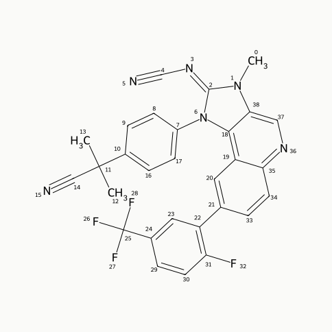 Cn1/c(=N/C#N)n(-c2ccc(C(C)(C)C#N)cc2)c2c3cc(-c4cc(C(F)(F)F)ccc4F)ccc3ncc21